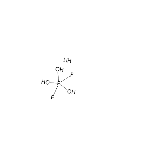 OP(O)(O)(F)F.[LiH]